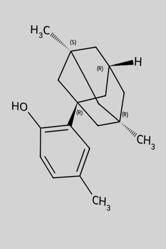 Cc1ccc(O)c([C@@]23C[C@@H]4C[C@@](C)(C[C@@](C)(C4)C2)C3)c1